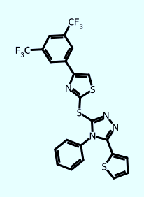 FC(F)(F)c1cc(-c2csc(Sc3nnc(-c4cccs4)n3-c3ccccc3)n2)cc(C(F)(F)F)c1